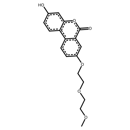 COCCOCCOc1ccc2c(c1)c(=O)oc1cc(O)ccc12